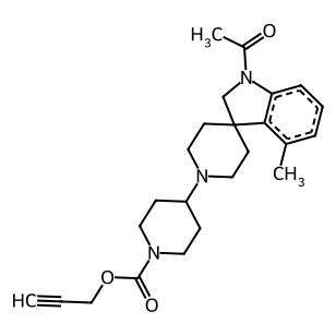 C#CCOC(=O)N1CCC(N2CCC3(CC2)CN(C(C)=O)c2cccc(C)c23)CC1